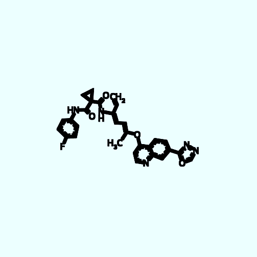 C=C/C(=C\C=C(/C)Oc1ccnc2cc(-c3nnco3)ccc12)NC(=O)C1(C(=O)Nc2ccc(F)cc2)CC1